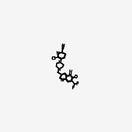 N#Cc1ccc(N2CCN(Cc3cnc4cc(C(F)F)c(=O)[nH]c4c3)CC2)c(Cl)n1